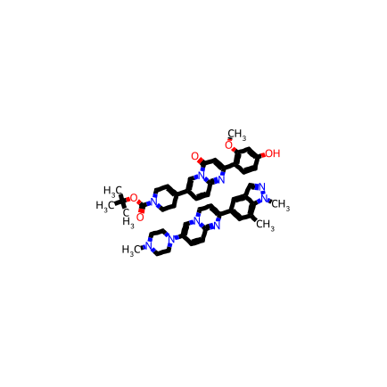 COc1cc(O)ccc1-c1cc(=O)n2cc(C3=CCN(C(=O)OC(C)(C)C)CC3)ccc2n1.Cc1cc(C2=CCN3C=C(N4CCN(C)CC4)C=CC3=N2)cc2cnn(C)c12